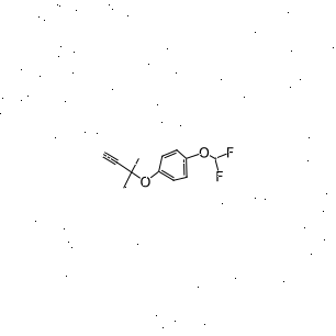 C#CC(C)(C)Oc1ccc(OC(F)F)cc1